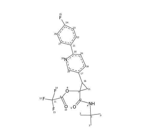 CC(C)(C)NC(=O)C1(OC(=O)C(F)(F)F)CC1c1ccc(-c2ccc(F)cc2)nc1